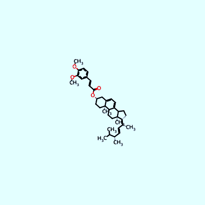 COc1ccc(C=CC(=O)O[C@H]2CC[C@@]3(C)C(=CC=C4C3CC[C@@]3(C)C4CC[C@@H]3[C@H](C)/C=C/[C@H](C)C(C)C)C2)cc1OC